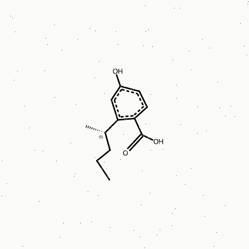 CCC[C@H](C)c1cc(O)ccc1C(=O)O